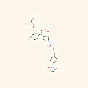 C=C(C)/C(=C1/C=CC(=O)C=C1O/C=C/C(O)=C\C)c1ccc(NC(=O)CCCc2ccc(N3C(=C)C=CC3=O)cc2)cc1C(=O)O